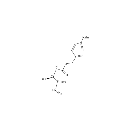 CCC[C@@H](NC(=O)OCc1ccc(NC)cc1)C(=O)NN